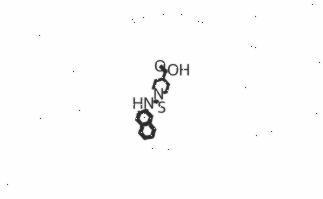 O=C(O)C1CCN(C(=S)Nc2ccc3ccccc3c2)CC1